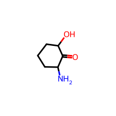 NC1CCCC(O)C1=O